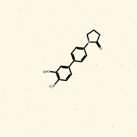 O=Cc1cc(-c2ccc(N3CCCC3=O)cc2)ccc1[N+](=O)[O-]